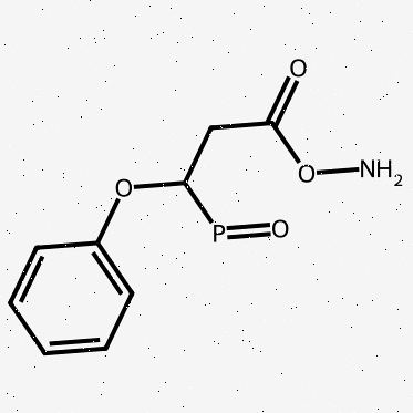 NOC(=O)CC(Oc1ccccc1)P=O